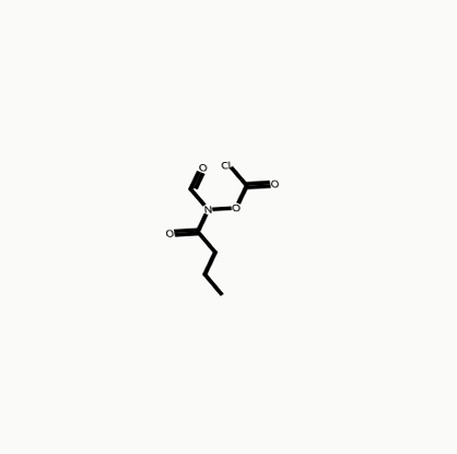 CCCC(=O)N(C=O)OC(=O)Cl